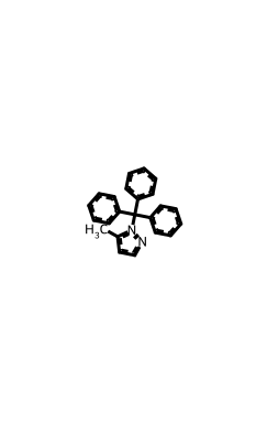 Cc1ccnn1C(c1ccccc1)(c1ccccc1)c1ccccc1